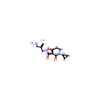 NCC(=CF)Cn1oc2c(c1=O)C(=O)N(C1CC1)CC2